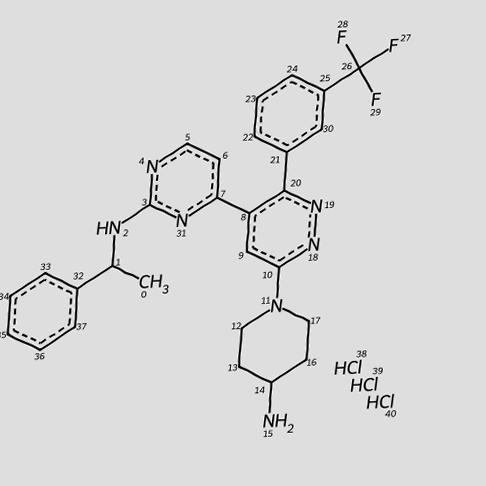 CC(Nc1nccc(-c2cc(N3CCC(N)CC3)nnc2-c2cccc(C(F)(F)F)c2)n1)c1ccccc1.Cl.Cl.Cl